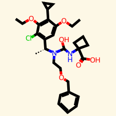 CCOc1cc([C@@H](C)N(CCOCc2ccccc2)C(O)NC2(C(=O)O)CCC2)c(Cl)c(OCC)c1C1CC1